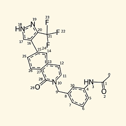 CC(=O)Nc1cccc(Cn2ccc3cc(-c4c[nH]nc4C(F)(F)F)ccc3c2=O)c1